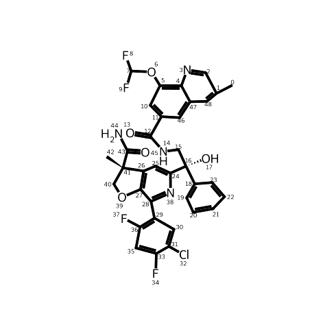 Cc1cnc2c(OC(F)F)cc(C(=O)NC[C@@](O)(c3ccccc3)c3cc4c(c(-c5cc(Cl)c(F)cc5F)n3)OC[C@]4(C)C(N)=O)cc2c1